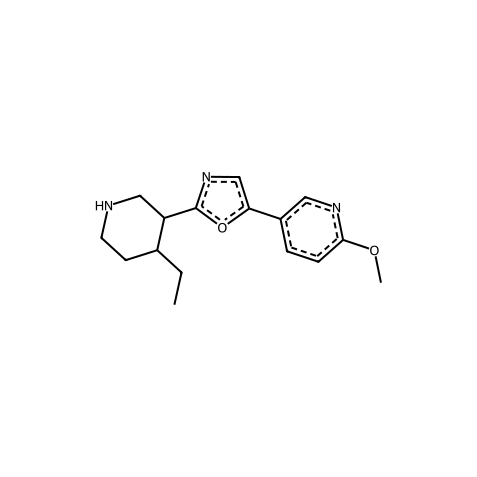 CCC1CCNCC1c1ncc(-c2ccc(OC)nc2)o1